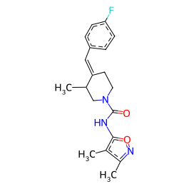 Cc1noc(NC(=O)N2CCC(=Cc3ccc(F)cc3)C(C)C2)c1C